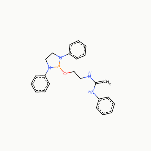 C=C(NCCOP1N(c2ccccc2)CCN1c1ccccc1)Nc1ccccc1